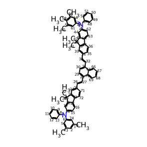 Cc1cc(C)cc(N(c2ccccc2)c2ccc3c(c2)C(C)(C)c2cc(/C=C/c4ccc(/C=C/c5ccc6c(c5)C(C)(C)c5cc(N(c7ccccc7)c7cc(C)c(C)c(C)c7)ccc5-6)c5ccccc45)ccc2-3)c1